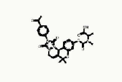 CC(=O)c1ccc(-n2c(=O)n3n(c2=O)C2C(=CC3)C(C)(C)Oc3cc(OC(=O)N(C)C(C)C(=O)O)ccc32)cc1